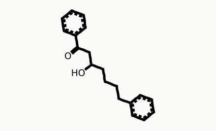 O=C(CC(O)CCCCc1ccccc1)c1ccccc1